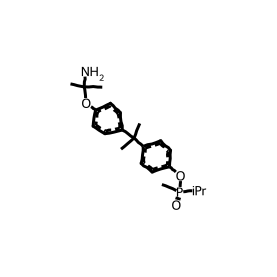 CC(C)P(C)(=O)Oc1ccc(C(C)(C)c2ccc(OC(C)(C)N)cc2)cc1